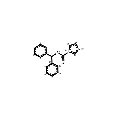 S=C(SC(c1ccccc1)c1ccccc1)n1ccnc1